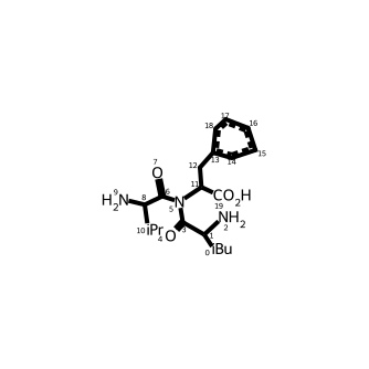 CCC(C)C(N)C(=O)N(C(=O)C(N)C(C)C)C(Cc1ccccc1)C(=O)O